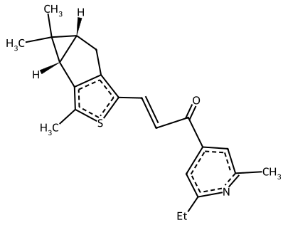 CCc1cc(C(=O)C=Cc2sc(C)c3c2C[C@@H]2[C@H]3C2(C)C)cc(C)n1